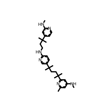 CNc1cc(C)nc(C(C)(C)CCC(C)(C)c2ccc(NCCC(C)(C)c3ccnc(NC)c3)nc2)c1